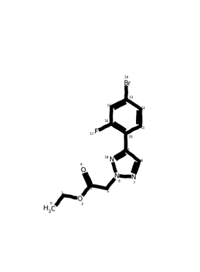 CCOC(=O)Cn1ncc(-c2ccc(Br)cc2F)n1